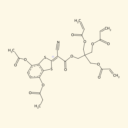 C=CC(=O)OCC(COC(=O)C=C)(COC(=O)C=C)COC(=O)/C(C#N)=C1/Sc2c(OC(C)=O)ccc(OC(=O)CC)c2S1